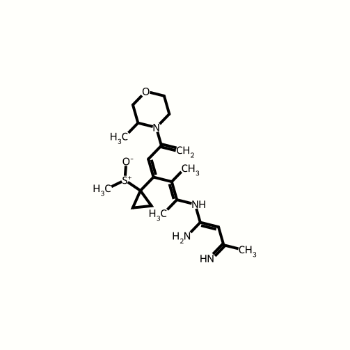 C=C(/C=C(\C(C)=C(/C)N/C(N)=C/C(C)=N)C1([S+](C)[O-])CC1)N1CCOCC1C